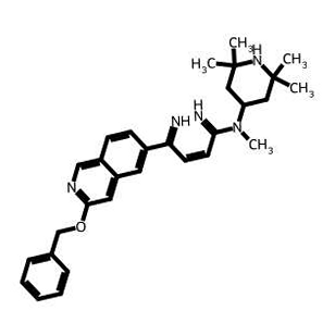 CN(C(=N)/C=C\C(=N)c1ccc2cnc(OCc3ccccc3)cc2c1)C1CC(C)(C)NC(C)(C)C1